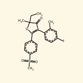 CCC1(C)OC(c2ccc(S(C)(=O)=O)cc2)=C(c2ccc(F)cc2C)C1=O